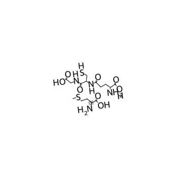 CSCC[C@H](N)C(=O)O.NC(CCC(=O)NC(CS)C(=O)NCC(=O)O)C(=O)O